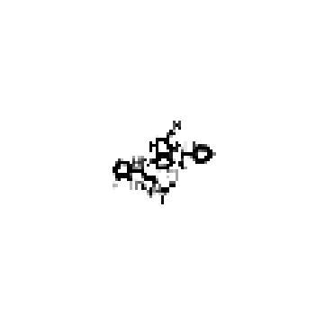 CC[C@@H](Nc1c(C#N)cnc2c(N[C@H](c3cn(C(F)F)nn3)c3cccc(F)c3F)cc(Cl)cc12)c1ccccc1